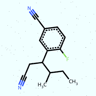 CCC(C)C(CC#N)c1cc(C#N)ccc1F